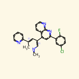 C=N/C=C(\C=C(/C)c1ccccn1)c1cc(-c2cc(Cl)ccc2F)nc2ncccc12